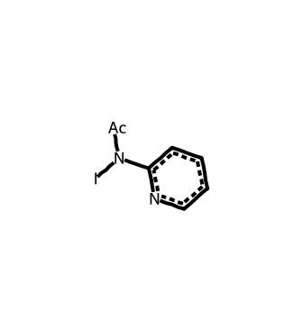 CC(=O)N(I)c1ccccn1